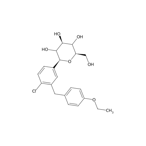 CCOc1ccc(Cc2cc([C@@H]3O[C@H](CO)C(O)[C@H](O)C3O)ccc2Cl)cc1